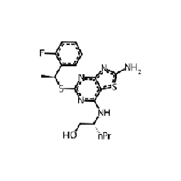 CCC[C@H](CO)Nc1nc(S[C@@H](C)c2ccccc2F)nc2nc(N)sc12